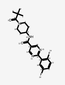 CC(C)(C)C(=O)N1CCC(NC(=O)c2cnc(-c3cc(F)ccc3F)nc2)CC1